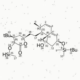 C[C@H]1C=CC2=C[C@@H](O[Si](C)(C)C(C)(C)C)C[C@H](O)[C@@H]2[C@H]1CC[C@@H]1C[C@H](C(C)(C)C)C(O[SiH](C)C)C(=O)O1